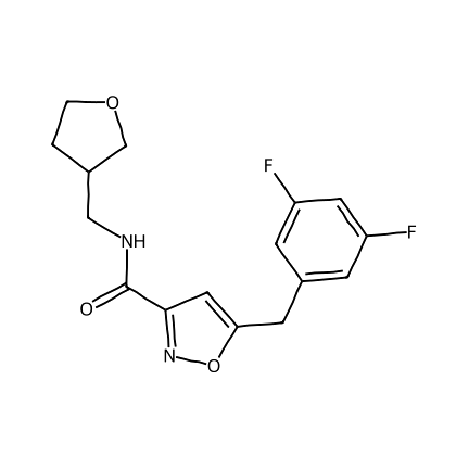 O=C(NCC1CCOC1)c1cc(Cc2cc(F)cc(F)c2)on1